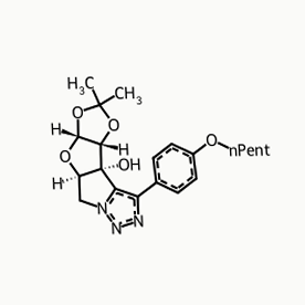 CCCCCOc1ccc(-c2nnn3c2[C@@]2(O)[C@@H](C3)O[C@@H]3OC(C)(C)O[C@@H]32)cc1